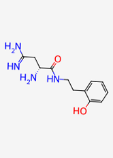 N=C(N)C[C@@H](N)C(=O)NCCc1ccccc1O